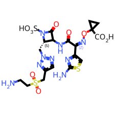 NCCS(=O)(=O)Cc1cnn(C[C@H]2C(NC(=O)/C(=N\OC3(C(=O)O)CC3)c3csc(N)n3)C(=O)N2S(=O)(=O)O)n1